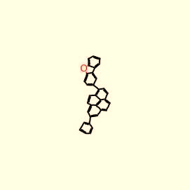 c1ccc(-c2cc3ccc4ccc(-c5ccc6oc7ccccc7c6c5)c5ccc(c2)c3c45)cc1